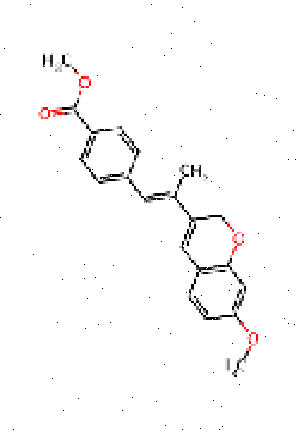 COC(=O)c1ccc(C=C(C)C2=Cc3ccc(OC)cc3OC2)cc1